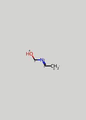 [CH2]C=NCO